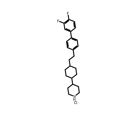 Fc1ccc(-c2ccc(CCC3CCC(C4CC[SiH](Cl)CC4)CC3)cc2)cc1F